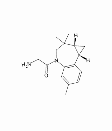 Cc1ccc2c(c1)N(C(=O)CN)CC(C)(C)[C@@H]1C[C@H]21